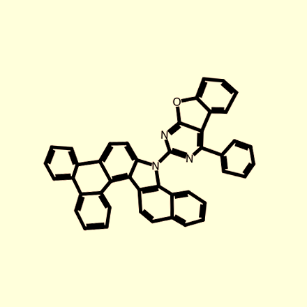 c1ccc(-c2nc(-n3c4ccc5c6ccccc6c6ccccc6c5c4c4ccc5ccccc5c43)nc3oc4ccccc4c23)cc1